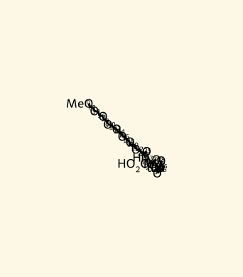 COCCOCCOCCOCCOCCOCCOCCOCCC(=O)NC[C@@H](C(=O)ON1C(=O)CCC1=O)N(C(=O)O)C(C)(C)C